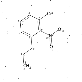 C=C[CH]c1cccc(Cl)c1[N+](=O)[O-]